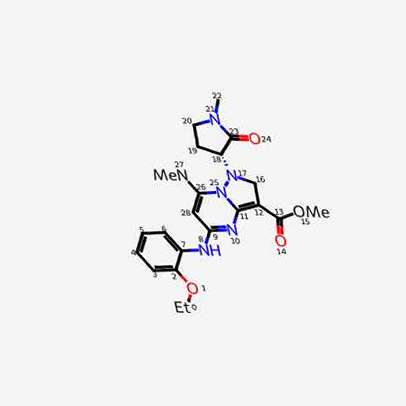 CCOc1ccccc1NC1=NC2=C(C(=O)OC)CN([C@@H]3CCN(C)C3=O)N2C(NC)=C1